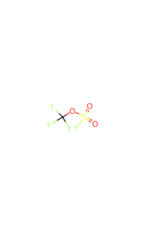 O=S(=O)(F)OC(F)(F)F